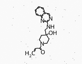 C=CC(=O)N1CCC(O)(CNc2ncc3ccccc3n2)CC1